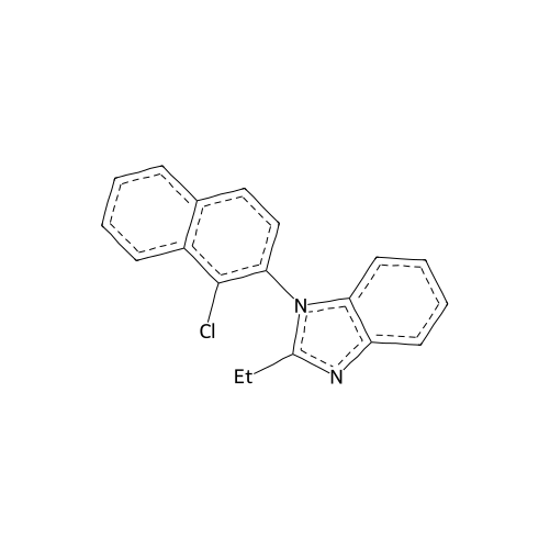 CCc1nc2ccccc2n1-c1ccc2ccccc2c1Cl